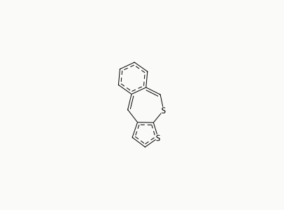 C1=c2ccccc2=Cc2ccsc2S1